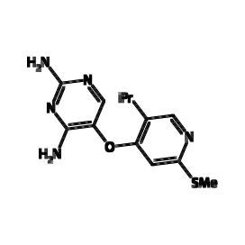 CSc1cc(Oc2cnc(N)nc2N)c(C(C)C)cn1